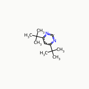 CC(C)(C)c1cc(C(C)(C)C)n[c]n1